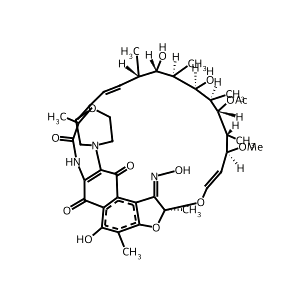 CO[C@H]1/C=C/O[C@@]2(C)Oc3c(C)c(O)c4c(c3/C2=N/O)C(=O)C(N2CCOCC2)=C(NC(=O)/C(C)=C\C=C\[C@H](C)[C@H](O)[C@@H](C)[C@@H](O)[C@@H](C)[C@H](OC(C)=O)[C@@H]1C)C4=O